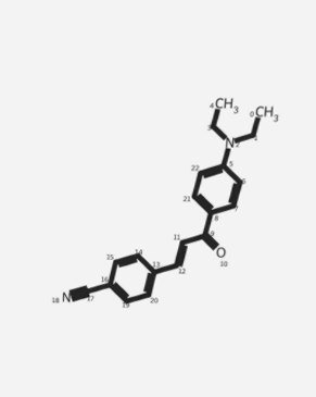 CCN(CC)c1ccc(C(=O)C=Cc2ccc(C#N)cc2)cc1